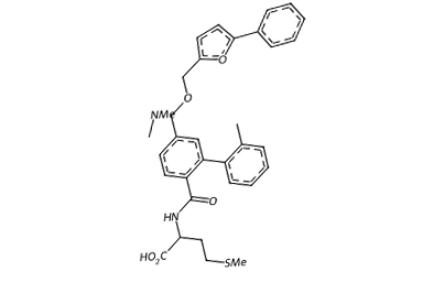 CNC.CSCCC(NC(=O)c1ccc(COCc2ccc(-c3ccccc3)o2)cc1-c1ccccc1C)C(=O)O